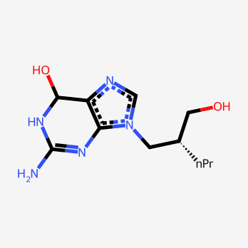 CCC[C@@H](CO)Cn1cnc2c1N=C(N)NC2O